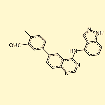 Cc1ccc(-c2ccc3ncnc(Nc4cccc5[nH]ncc45)c3c2)cc1C=O